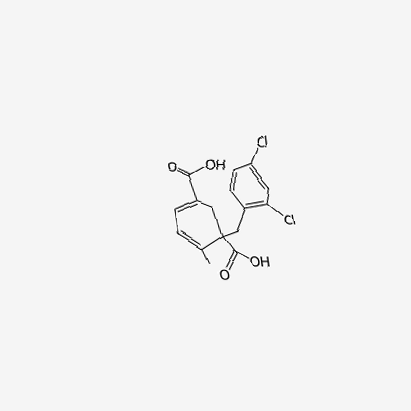 CC1=CC=C(C(=O)O)CC1(Cc1ccc(Cl)cc1Cl)C(=O)O